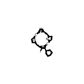 Ic1c(-c2ccccc2)c2cc3nc(cc4ccc(cc5nc(cc1[nH]2)C=C5)[nH]4)C=C3